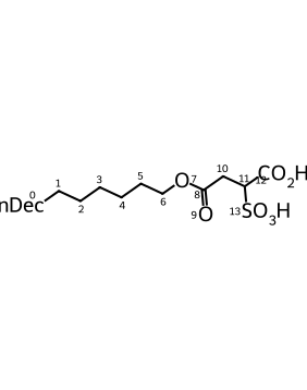 CCCCCCCCCCCCCCCCOC(=O)CC(C(=O)O)S(=O)(=O)O